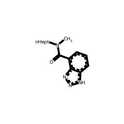 CCCCCCCN(C)C(=O)c1cccc2[nH]nnc12